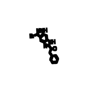 O=C(Cc1ccccc1)c1nc2cc3c(Br)n[nH]c3cc2[nH]1